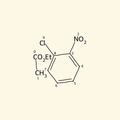 CCOC(C)=O.O=[N+]([O-])c1ccccc1Cl